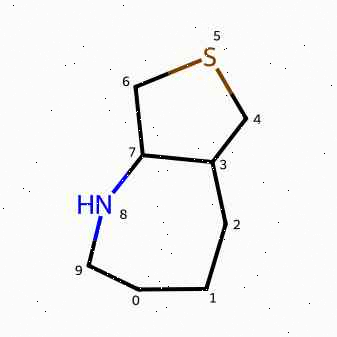 C1CCC2CSCC2NC1